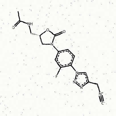 [C-]#[N+]Cc1cn(-c2ccc(N3C[C@H](CNC(C)=O)OC3=O)cc2F)nn1